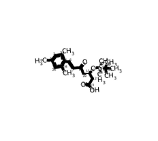 Cc1cc(C)c(C=CC(=O)C[C@H](CC(=O)O)O[Si](C)(C)C(C)(C)C)c(C)c1